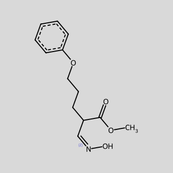 COC(=O)C(/C=N\O)CCCOc1ccccc1